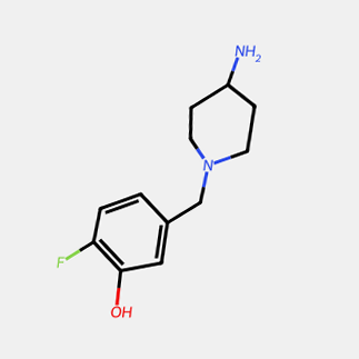 NC1CCN(Cc2ccc(F)c(O)c2)CC1